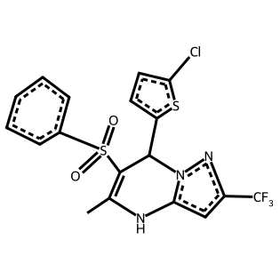 CC1=C(S(=O)(=O)c2ccccc2)C(c2ccc(Cl)s2)n2nc(C(F)(F)F)cc2N1